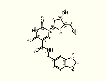 O=C(NCc1ccc2c(c1)OCO2)c1cn([C@H]2C[C@H](O)[C@@H](CO)O2)c(=O)[nH]c1=O